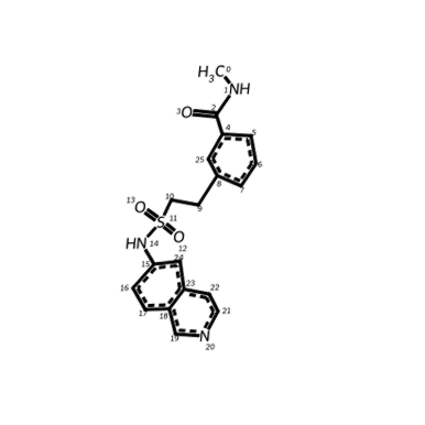 CNC(=O)c1cccc(CCS(=O)(=O)Nc2ccc3cnccc3c2)c1